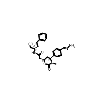 CN1C(=O)O[C@@H](CC(=O)N[C@H](CCc2ccccc2)CC(=O)O)C[C@H]1c1ccc(C=NN)cc1